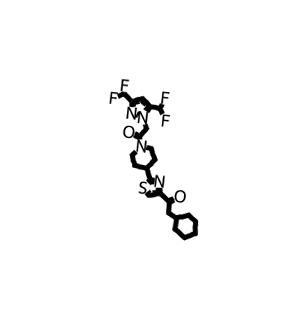 O=C(CC1CCCCC1)c1csc(C2CCN(C(=O)Cn3nc(C(F)F)cc3C(F)F)CC2)n1